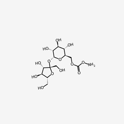 NOC(=O)OC[C@H]1O[C@H](O[C@]2(CO)O[C@H](CO)[C@@H](O)[C@@H]2O)[C@H](O)[C@@H](O)[C@@H]1O